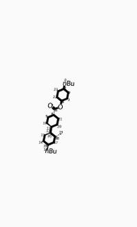 CCCCC1CCC(OC(=O)[C@H]2CC[C@H]([C@@H]3CC[C@H](CCCC)C[C@H]3C)CC2)CC1